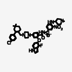 CN1CCC(Nc2ccc([S+]([O-])NC(=O)c3ccc(N4CCN(CC5=C(c6ccc(Cl)cc6)CC(C)(C)CC5)CC4)cc3Oc3ccc4[nH]ccc4c3F)cc2[N+](=O)[O-])CC1